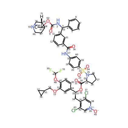 O=C(N[C@@H](c1ccccc1)c1cccc(C(=O)Nc2ccc(S(=O)(=O)N3CCC[C@H]3C(=O)O[C@@H](Cc3c(Cl)c[n+]([O-])cc3Cl)c3ccc(OC(F)F)c(OCC4CC4)c3)cc2)c1)O[C@H]1CN2CCC1CC2